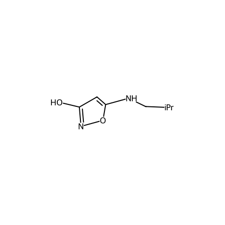 CC(C)CNc1cc(O)no1